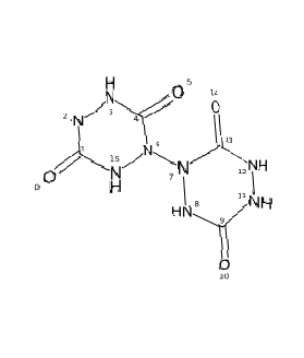 O=C1[N]NC(=O)N(N2NC(=O)NNC2=O)N1